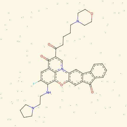 O=C(CCCCN1CCOCC1)c1cn2c3cc4c(cc3oc3c(NCCN5CCCC5)c(F)cc(c1=O)c32)c(=O)c1ccccc14